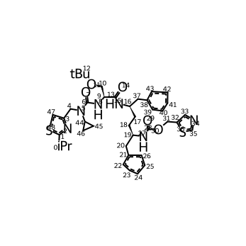 CC(C)c1nc(CN(C(=O)N[C@@H](COC(C)(C)C)C(=O)N[C@H](CC[C@H](Cc2ccccc2)NC(=O)OCc2cncs2)Cc2ccccc2)C2CC2)cs1